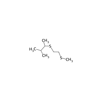 CSCCSC(C)C(C)C